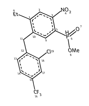 CCc1cc([N+](=O)[O-])c([PH](=O)OC)cc1Cc1ccc(C(F)(F)F)cc1Cl